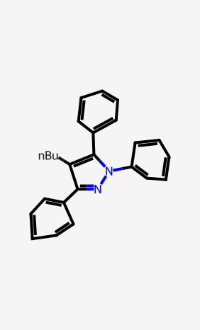 CCCCc1c(-c2ccccc2)nn(-c2ccccc2)c1-c1ccccc1